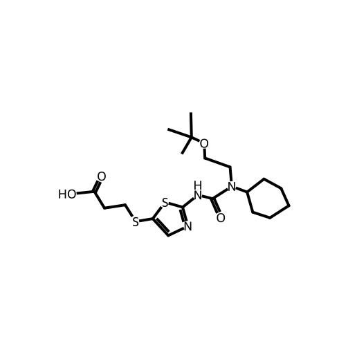 CC(C)(C)OCCN(C(=O)Nc1ncc(SCCC(=O)O)s1)C1CCCCC1